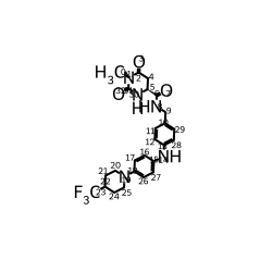 CN1C(=O)C[C@@H](C(=O)NCc2ccc(Nc3ccc(N4CCC(C(F)(F)F)CC4)cc3)cc2)NC1=O